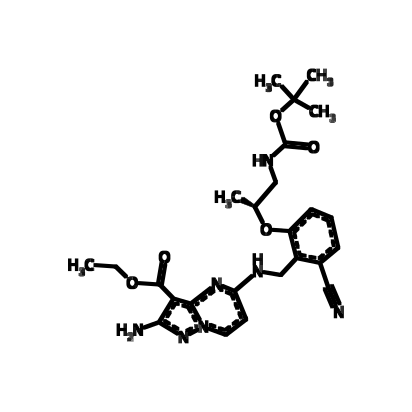 CCOC(=O)c1c(N)nn2ccc(NCc3c(C#N)cccc3O[C@@H](C)CNC(=O)OC(C)(C)C)nc12